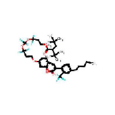 CCCCCc1ccc(-c2cc3ccc(OCCC(F)(F)OC(F)(F)OC(F)(F)CCOC(=O)C(CC(C)(C)C)C(C)(C)C)cc3oc2=O)c(C(F)(F)F)c1